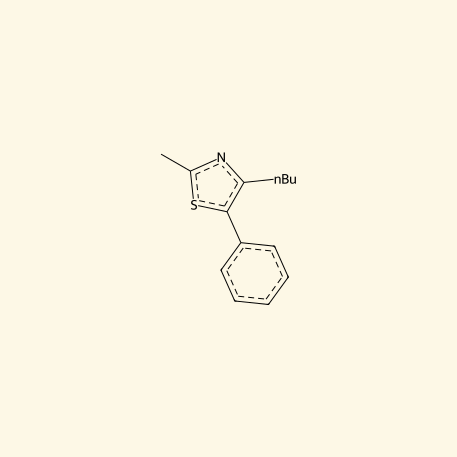 [CH2]CCCc1nc(C)sc1-c1ccccc1